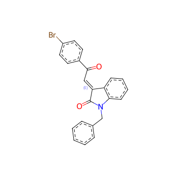 O=C(/C=C1/C(=O)N(Cc2ccccc2)c2ccccc21)c1ccc(Br)cc1